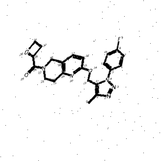 Cc1nnn(-c2ccc(F)cc2)c1COc1ccc2c(n1)CCN(C(=O)C1CCO1)C2